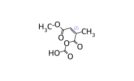 COC(=O)/C=C(/C)C(=O)OC(=O)O